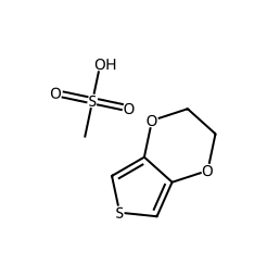 CS(=O)(=O)O.c1scc2c1OCCO2